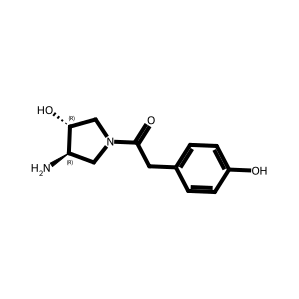 N[C@@H]1CN(C(=O)Cc2ccc(O)cc2)C[C@H]1O